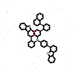 c1cc(-c2ccccc2-c2cccc3ccccc23)cc(N(c2ccc(-c3cccc4c3oc3ccccc34)cc2)c2ccccc2-c2ccc3sc4ccccc4c3c2)c1